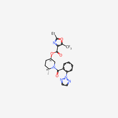 CCc1nc(C(=O)O[C@@H]2CC[C@@H](C)N(C(=O)c3ccccc3-n3nccn3)C2)c(C(F)(F)F)o1